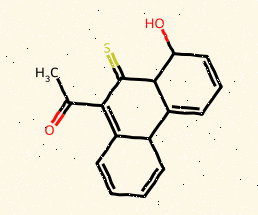 CC(=O)C1=C2C=CC=CC2C2=CC=CC(O)C2C1=S